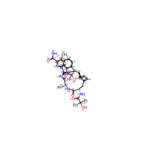 CCC(O)(CC)C(=O)N[C@H]1Cc2ccc3c(c2)C2(c4ccccc4N[C@H]2O3)c2oc(nc2-c2nc(C(N)=O)c(C)o2)[C@H](C(C)C)NC1=O